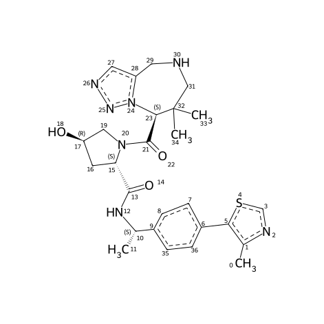 Cc1ncsc1-c1ccc([C@H](C)NC(=O)[C@@H]2C[C@@H](O)CN2C(=O)[C@H]2n3nncc3CNCC2(C)C)cc1